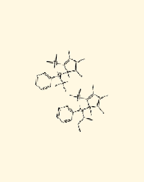 CC1=C(C)C(C)([Si](C)(c2ccccc2)C(C)(C)C)[C]([Ti]([CH3])([CH3])[CH3])=C1C.CCC(C)[Si](C)(c1ccccc1)C1(C)C(C)=C(C)C(C)=[C]1[Ti]([CH3])([CH3])[CH3]